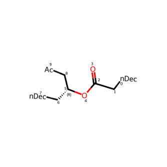 CCCCCCCCCCCC(=O)O[C@H](CCCCCCCCCCC)CC(C)=O